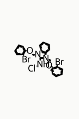 Nc1n(COc2ccccc2Br)c2ccccc2[n+]1COc1ccccc1Br.[Cl-]